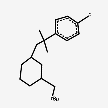 CC(C)(C)CC1CCCC(CC(C)(C)c2ccc(F)cc2)C1